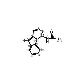 CC(=O)Nc1nccc2c(I)c3cccnc3n12